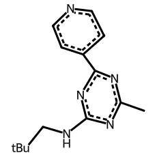 Cc1nc(NCC(C)(C)C)nc(-c2ccncc2)n1